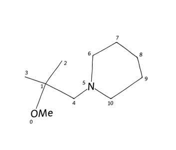 COC(C)(C)CN1CCCCC1